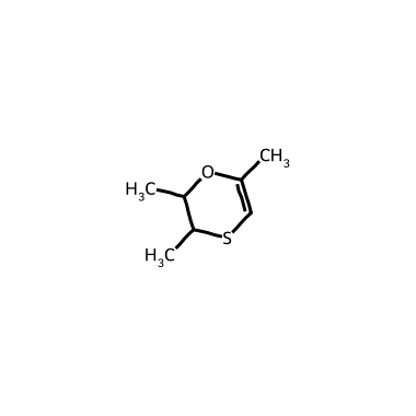 CC1=CSC(C)C(C)O1